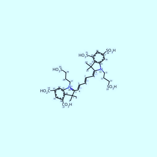 CC1(C)C(/C=C/C=C/C=C2/N(CCCS(=O)(=O)O)c3cc(S(=O)(=O)O)cc(S(=O)(=O)O)c3C2(C)C)=[N+](CCCS(=O)(=O)O)c2cc(C(=O)O)cc(C(=O)O)c21